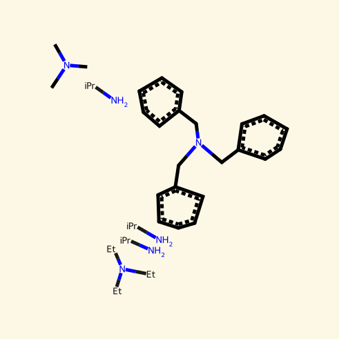 CC(C)N.CC(C)N.CC(C)N.CCN(CC)CC.CN(C)C.c1ccc(CN(Cc2ccccc2)Cc2ccccc2)cc1